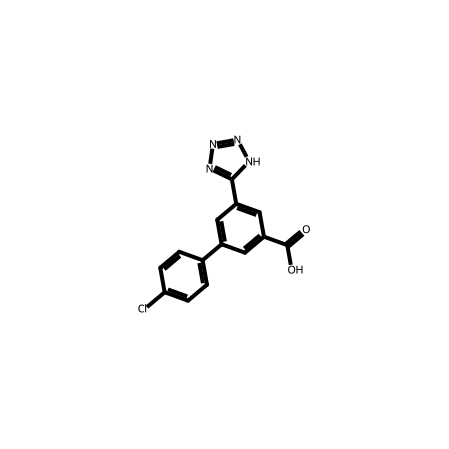 O=C(O)c1cc(-c2ccc(Cl)cc2)cc(-c2nnn[nH]2)c1